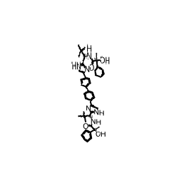 CC(C)(C)[C@H](NC(=O)[C@](C)(O)c1ccccc1)c1nc(-c2ccc(-c3ccc(-c4c[nH]c([C@@H](NC(=O)[C@](C)(O)c5ccccc5)C(C)(C)C)n4)cc3)cc2)c[nH]1